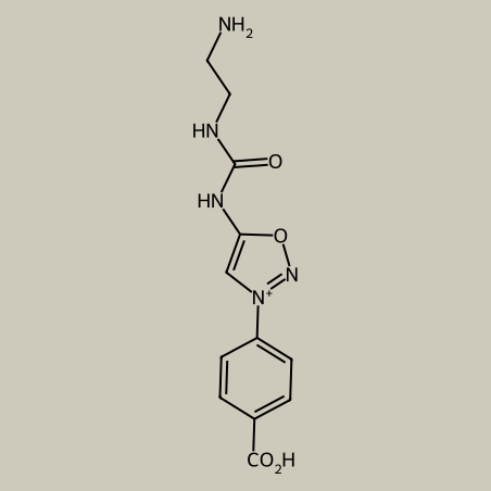 NCCNC(=O)Nc1c[n+](-c2ccc(C(=O)O)cc2)no1